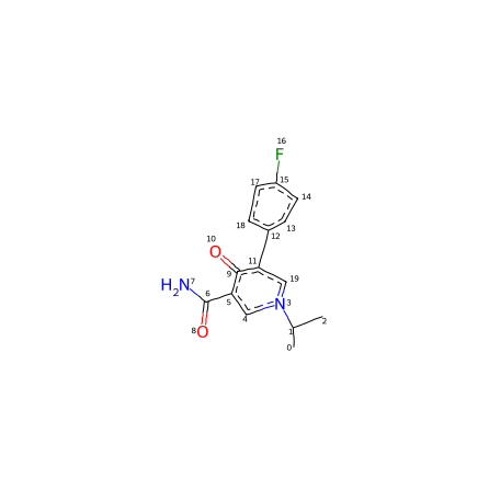 CC(C)n1cc(C(N)=O)c(=O)c(-c2ccc(F)cc2)c1